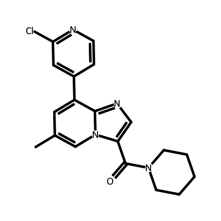 Cc1cc(-c2ccnc(Cl)c2)c2ncc(C(=O)N3CCCCC3)n2c1